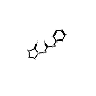 O=C1OCCN1NC(=S)Nc1ccccc1